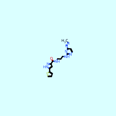 CN=Nc1ccnc(NCCCNC(=O)c2cc(-c3cccs3)[nH]n2)n1